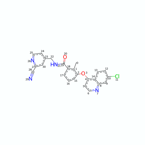 Cc1c(Oc2ccnc3cc(Cl)ccc23)cccc1C(=O)NCc1ccnc(C#N)c1